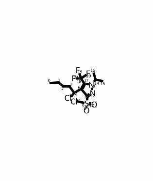 CCCCC(Cl)c1c(S(=O)(=O)Cl)nn(C(C)C)c1C(F)(F)F